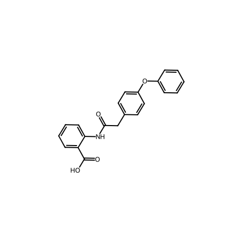 O=C(Cc1ccc(Oc2ccccc2)cc1)Nc1ccccc1C(=O)O